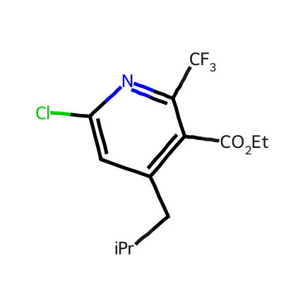 CCOC(=O)c1c(CC(C)C)cc(Cl)nc1C(F)(F)F